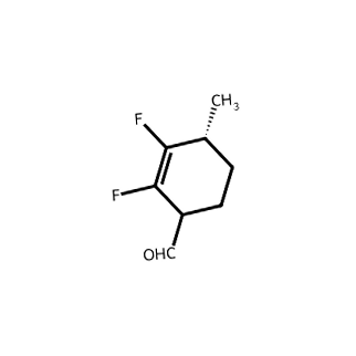 C[C@@H]1CCC(C=O)C(F)=C1F